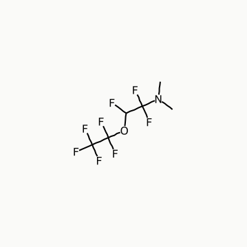 CN(C)C(F)(F)C(F)OC(F)(F)C(F)(F)F